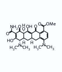 COC(=O)c1ccc(N(C)C)c2c1C(=O)C1=C(O)[C@]3(O)C(=O)C(C(N)=O)=C(O)[C@@H](N(C)C)[C@@H]3C[C@@H]1C2